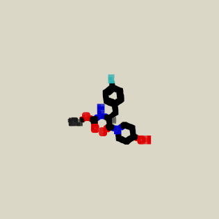 CC(C)(C)OC(=O)N[C@@H](Cc1ccc(F)cc1)C(=O)N1CCC(O)CC1